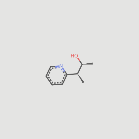 C[C@H](O)[C@@H](C)c1ccccn1